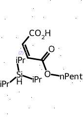 CC(C)[SiH](C(C)C)C(C)C.CCCCCOC(=O)/C=C\C(=O)O